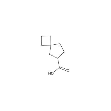 O=C(O)C1CCC2(CCC2)C1